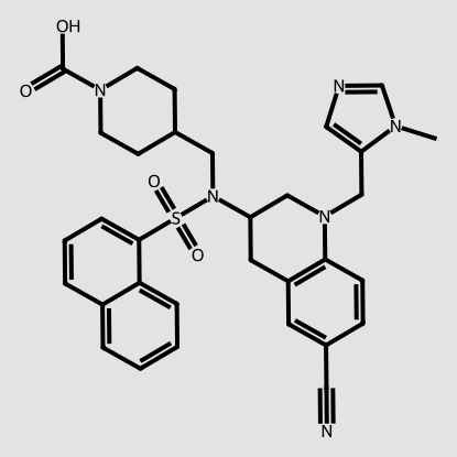 Cn1cncc1CN1CC(N(CC2CCN(C(=O)O)CC2)S(=O)(=O)c2cccc3ccccc23)Cc2cc(C#N)ccc21